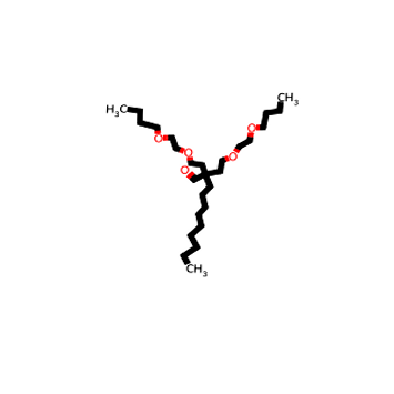 CCCCCCCCCC([C]=O)(CCOCCOCCCC)CCOCCOCCCC